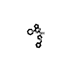 c1ccc(CN2CC[C@@H](Nc3nc4c(c(N5CCCCCC5)n3)CCC4)C2)cc1